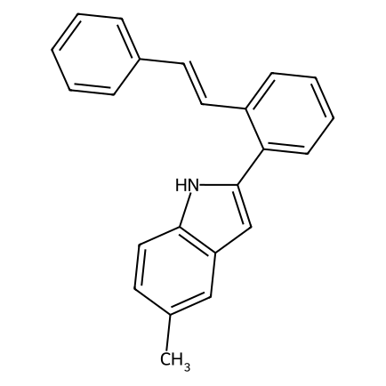 Cc1ccc2[nH]c(-c3ccccc3C=Cc3ccccc3)cc2c1